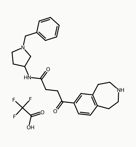 O=C(CCC(=O)c1ccc2c(c1)CCNCC2)NC1CCN(Cc2ccccc2)C1.O=C(O)C(F)(F)F